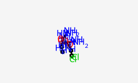 N=C(N)NCCC[C@H](NC(=O)[C@H](Cc1ccc(-c2ccccc2)cc1)NC(=O)[C@H](CCCNC(=N)N)NC(=O)[C@@H](N)Cc1ccc(-c2ccc(Cl)c(Cl)c2)cc1)C(N)=O